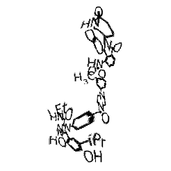 CCNC(=O)c1nnc(-c2cc(C(C)C)c(O)cc2O)n1-c1ccc(C(=O)N2CCN(c3ccc(OC(=O)Nc4cccc5c4C(=O)N(C4CCC(=O)NC4=O)C5=O)c(C)c3)CC2)cc1